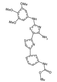 COc1cc(Nc2nc(N)c(-c3nc(-c4cccc(NC(=O)OC(C)(C)C)c4)cs3)s2)cc(OC)c1OC